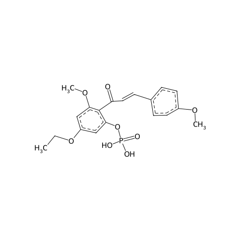 CCOc1cc(OC)c(C(=O)C=Cc2ccc(OC)cc2)c(OP(=O)(O)O)c1